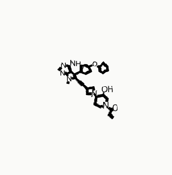 C=CC(=O)N1CC[C@@H](N2CC(C#Cc3c(-c4ccc(Oc5ccccc5)cc4)c4c(N)ncnc4n3C)C2)[C@@H](O)C1